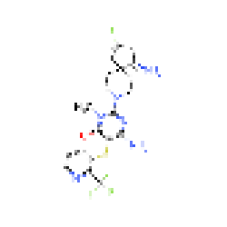 Cn1c(N2CCC3(CC2)C[C@H](F)C[C@H]3N)nc(N)c(Sc2cccnc2C(F)(F)F)c1=O